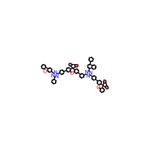 c1ccc(-c2nc(-c3ccc(-c4ccc5c(c4)Oc4cc(-c6cccc(-c7nc(-c8ccc(-c9ccc%10c(c9)Oc9ccccc9C%109c%10ccccc%10-c%10ccccc%109)cc8)nc(-c8ccc(-c9ccccc9)c9ccccc89)n7)c6)ccc4C54c5ccccc5-c5ccccc54)cc3)nc(-c3ccc4c(c3)oc3ccccc34)n2)cc1